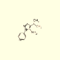 CC(C)c1cnn(-c2ccncc2)c1N